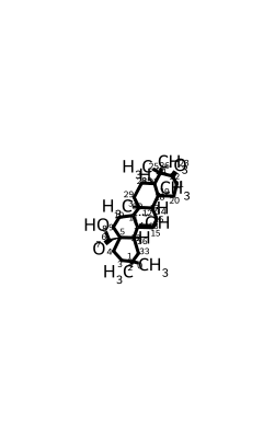 CC1(C)CC[C@]2(C(=O)O)CC[C@]3(CO)C(=CC[C@@H]4[C@@]5(C)CCC(=O)C(C)(C)[C@@H]5CC[C@]43C)[C@@H]2C1